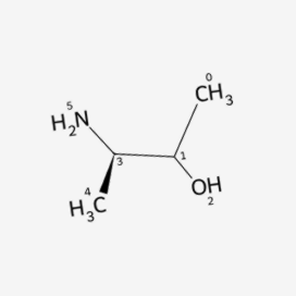 CC(O)[C@@H](C)N